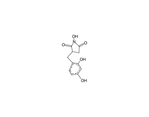 O=C1CC(Cc2ccc(O)cc2O)C(=O)N1O